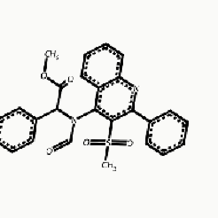 COC(=O)C(c1ccccc1)N(C=O)c1c(S(C)(=O)=O)c(-c2ccccc2)nc2ccccc12